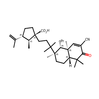 C=C(C)[C@@H]1CC[C@@](CCC(C)(C)[C@]2(C)CC[C@H]3C(C)(C)C(=O)C(C#N)=C[C@]3(C)[C@H]2CCC)(C(=O)O)[C@H]1C